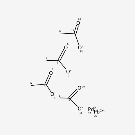 CC(=O)[O-].CC(=O)[O-].CC(=O)[O-].CC(=O)[O-].[Pb+2].[Pd+2]